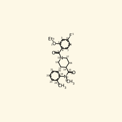 CCOc1cc(F)ccc1C(=O)N1CCC(C(=O)N(C)c2ccccc2C)CC1